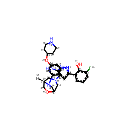 Nc1nnc(-c2cccc(F)c2O)cc1N1CC2CN(c3cccc(OC4CCNCC4)c3)[C@H](CO2)C1